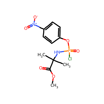 COC(=O)C(C)(C)NP(=O)(Cl)Oc1ccc([N+](=O)[O-])cc1